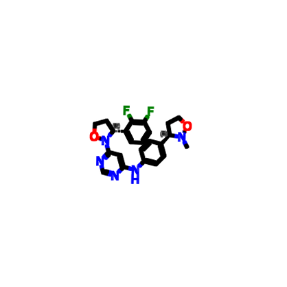 CN1OCC[C@@H]1c1ccc(Nc2cc(N3OCC[C@@H]3c3cccc(F)c3F)ncn2)cc1